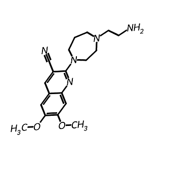 COc1cc2cc(C#N)c(N3CCCN(CCN)CC3)nc2cc1OC